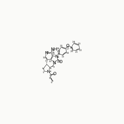 C=CC(=O)N1CCC[C@H]1Cn1c(=O)n(-c2ccc(Oc3ccccc3)cc2)c2c(N)nccc21